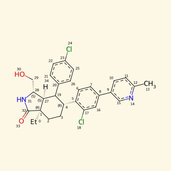 CC[C@@]12CC[C@@H](c3ccc(-c4ccc(C)nc4)cc3Cl)C(c3ccc(Cl)cc3)[C@@H]1[C@@H](CO)NC2=O